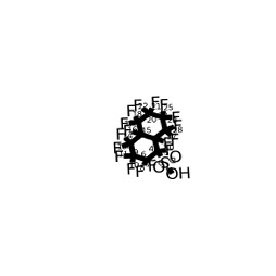 O=S(=O)(O)C1(F)C(F)(F)C(F)(F)C(F)(F)C2(F)C(F)(F)C(F)(F)C(F)(F)C(F)(F)C21F